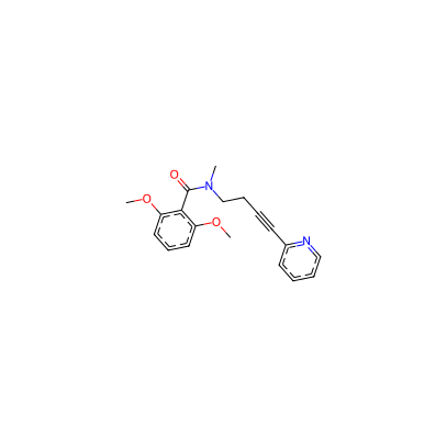 COc1cccc(OC)c1C(=O)N(C)CCC#Cc1ccccn1